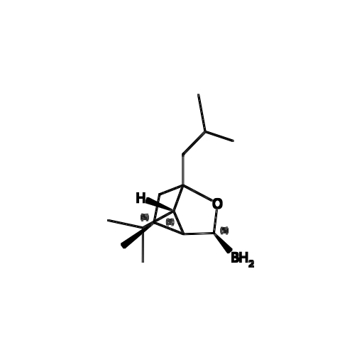 B[C@@H]1OC2(CC(C)C)C[C@H](C)C1[C@@H]2C(C)C